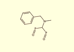 CN(Cc1ccccc1)C(P=O)P=O